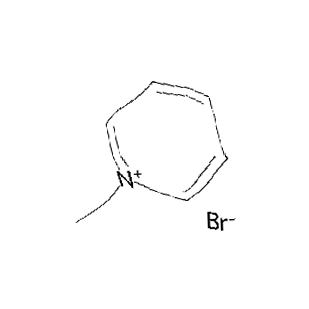 C[n+]1ccccc1.[Br-]